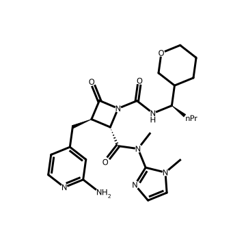 CCC[C@@H](NC(=O)N1C(=O)[C@H](Cc2ccnc(N)c2)[C@H]1C(=O)N(C)c1nccn1C)C1CCCOC1